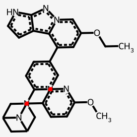 CCOc1cc(-c2ccc(N3CC4CC(C3)N4Cc3ccc(OC)nc3)nc2)c2c3cc[nH]c3nn2c1